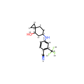 N#Cc1ccc(NC2CCC3(CC3)C(O)C2)cc1C(F)(F)F